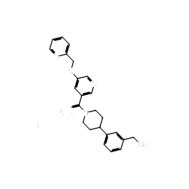 Cl.Cl.Cl.Cl.NCc1cccc(C2CCN(C(=O)c3cncc(NCc4ccccn4)c3)CC2)c1